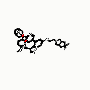 COc1ccc(CN2C3CC2CN(c2ccc(-c4cc(OCCN5CC6CC(F)(F)CC6C5)cn5ncc(C#N)c45)cn2)C3)cn1